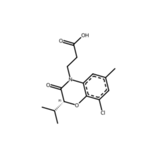 Cc1cc(Cl)c2c(c1)N(CCC(=O)O)C(=O)[C@@H](C(C)C)O2